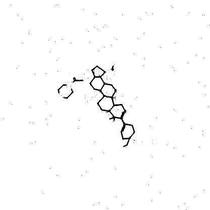 C=C(C)[C@@H]1CC[C@]2(NCC(=O)N3CCOCC3)CC[C@]3(C)[C@H](CC[C@@H]4[C@@]5(C)CC=C(C6=CC[C@](CF)(C(=O)O)CC6)C(C)(C)[C@@H]5CC[C@]43C)[C@@H]12